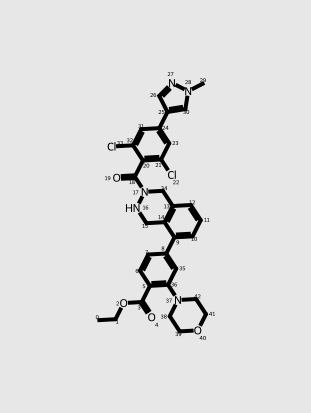 CCOC(=O)c1ccc(-c2cccc3c2CNN(C(=O)c2c(Cl)cc(-c4cnn(C)c4)cc2Cl)C3)cc1N1CCOCC1